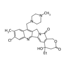 CCC1(O)CC(=O)OCc2c1cc1n(c2=O)Cc2c-1nc1cc(Cl)c(C)cc1c2CN1CCN(C)CC1